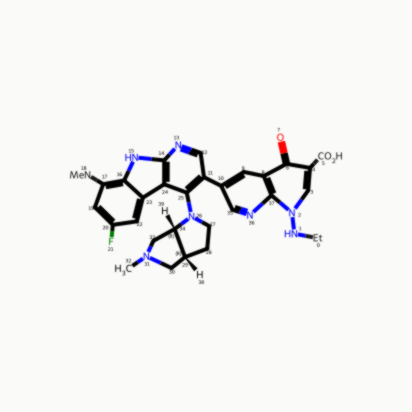 CCNn1cc(C(=O)O)c(=O)c2cc(-c3cnc4[nH]c5c(NC)cc(F)cc5c4c3N3CC[C@@H]4CN(C)C[C@@H]43)cnc21